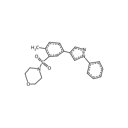 Cc1ccc(-c2cnn(-c3ccccc3)c2)cc1S(=O)(=O)N1CCOCC1